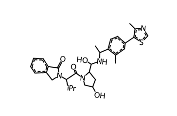 Cc1cc(-c2scnc2C)ccc1C(C)NC(O)C1CC(O)CN1C(=O)C(C(C)C)N1Cc2ccccc2C1=O